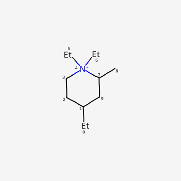 CCC1CC[N+](CC)(CC)C(C)C1